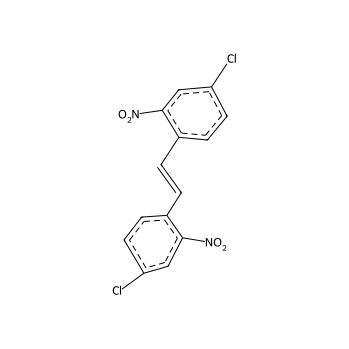 O=[N+]([O-])c1cc(Cl)ccc1C=Cc1ccc(Cl)cc1[N+](=O)[O-]